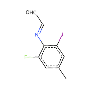 Cc1cc(F)c(N=CC=O)c(I)c1